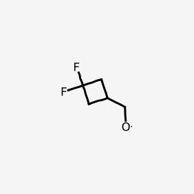 [O]CC1CC(F)(F)C1